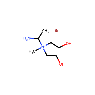 CC(N)[N+](C)(CCO)CCO.[Br-]